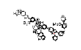 COc1cc(CN2CCN(c3ccccc3C(C)C)[C@@H](C3CC4(CCN(c5ccc(C(=O)NS(=O)(=O)c6ccc(NC[C@H]7CC[C@](C)(O)CC7)c([N+](=O)[O-])c6)c(N6c7cc8cc[nH]c8nc7O[C@H]7COCC[C@@H]76)c5)CC4)C3)C2)cnc1N1CCOCC1